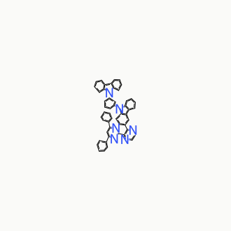 c1ccc(-c2cc(-c3ccccc3)nc(-c3nccnc3-c3ccc4c(c3)c3ccccc3n4-c3cccc(-n4c5ccccc5c5ccccc54)c3)n2)cc1